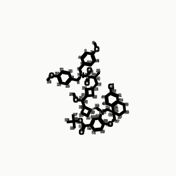 COc1ccc(CN(Cc2ccc(OC)cc2)S(=O)(=O)[C@@H](C)C[C@@H]2C=C([C@H](OC)[C@@H]3CC[C@H]3CN3C[C@@]4(CCCc5cc(Cl)ccc54)COc4ccc(C(=O)OC(C)(C)C)cc43)C2)cc1